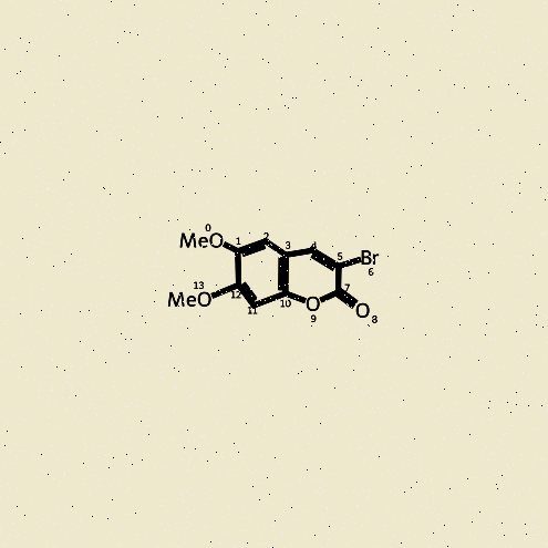 COc1cc2cc(Br)c(=O)oc2cc1OC